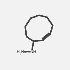 NNC1/C=C\CCCCCC1